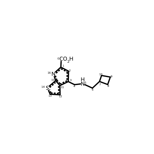 O=C(O)c1cc(CNCC2CCC2)c2ccsc2n1